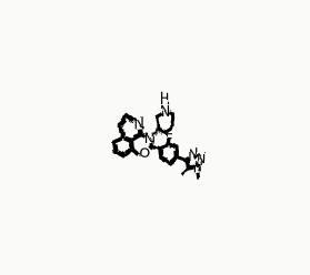 Cc1cccc2ccnc(N(C(=O)c3ccc(-c4nnn(C)c4C)cc3F)[C@@H]3CCCNC3)c12